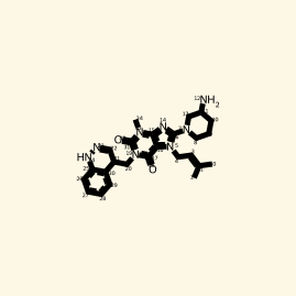 CC(C)=CCn1c(N2CCCC(N)C2)nc2c1c(=O)n(CC1C=NNc3ccccc31)c(=O)n2C